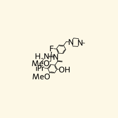 C=C(c1cc(C(C)C)c(OC)cc1O)N(c1ccc(CN2CCN(C)CC2)cc1F)[C@@](C)(N)COC